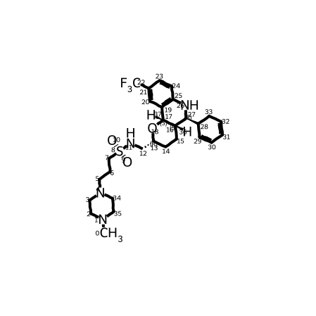 CN1CCN(CCCS(=O)(=O)NC[C@H]2CC[C@@H]3[C@H](O2)c2cc(C(F)(F)F)ccc2N[C@H]3C2C=CC=CC2)CC1